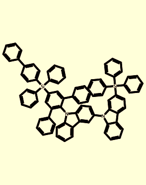 c1ccc(-c2ccc([Si](c3ccccc3)(c3ccccc3)c3cc(-c4ccccc4)c(-n4c5ccccc5c5cc(-n6c7ccccc7c7ccc([Si](c8ccccc8)(c8ccccc8)c8ccccc8)cc76)ccc54)c(-c4ccccc4)c3)cc2)cc1